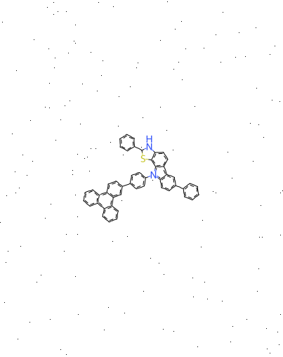 c1ccc(-c2ccc3c(c2)c2ccc4c(c2n3-c2ccc(-c3ccc5c6ccccc6c6ccccc6c5c3)cc2)SC(c2ccccc2)N4)cc1